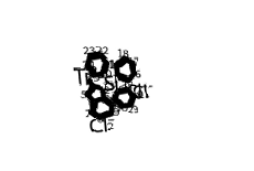 [Cl-].[Cl-].[Cl-].[Ti+3][C]1=Cc2ccccc2C1[Si](c1ccccc1)(c1ccccc1)c1ccccc1